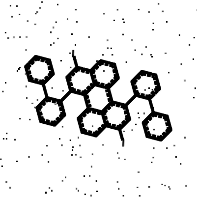 Ic1cc(-c2ccccc2-c2ccccc2)c2c3cccc4c(I)cc(-c5ccccc5-c5ccccc5)c(c5cccc1c52)c43